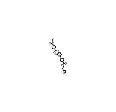 CCOC(=O)N1CCC(C2OCc3cc(-c4ccc(C(=O)NCCc5ccco5)cc4)ccc3O2)CC1